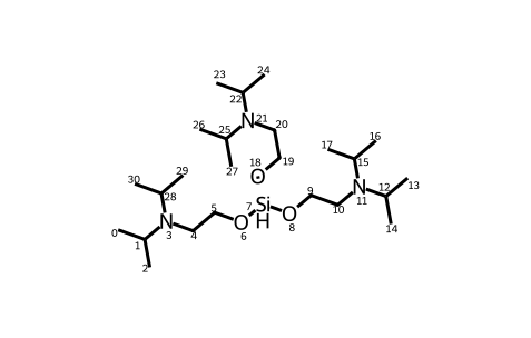 CC(C)N(CCO[SiH](OCCN(C(C)C)C(C)C)OCCN(C(C)C)C(C)C)C(C)C